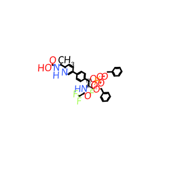 CC(NC(=O)O)c1ccc(-c2ccc([C@@H](OP(=O)(OOCc3ccccc3)OOCc3ccccc3)[C@@H](CF)NC(=O)C(F)F)cc2)cn1